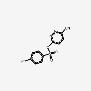 CC(C)c1ccc(S(=O)(=O)Oc2ccc(C#N)nn2)cc1